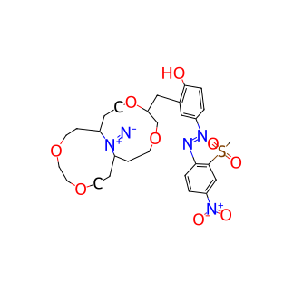 CS(=O)(=O)c1cc([N+](=O)[O-])ccc1N=Nc1ccc(O)c(CC2COCCC3CCOCCOCCC(CCO2)[N+]3=[N-])c1